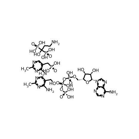 Cc1ncc(CO)c(N)n1.Cc1ncc(CP(=O)(O)O)c(N)n1.NCCC(O)(P(=O)(O)O)P(=O)(O)O.Nc1ncnc2c1ncn2[C@@H]1O[C@H](COP(=O)(O)OP(=O)(O)OP(=O)(O)O)[C@@H](O)[C@H]1O